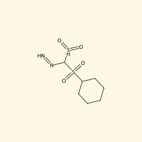 N=NC([SH](=O)=O)S(=O)(=O)C1CCCCC1